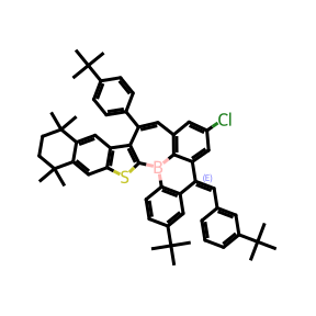 CC(C)(C)c1ccc(C2=Cc3cc(Cl)cc4c3B(c3ccc(C(C)(C)C)cc3/C4=C\c3cccc(C(C)(C)C)c3)c3sc4cc5c(cc4c32)C(C)(C)CCC5(C)C)cc1